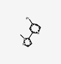 CC(C)c1ccnc(-c2ccnn2C)c1